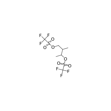 CC(COS(=O)(=O)C(F)(F)F)C(C)OS(=O)(=O)C(F)(F)F